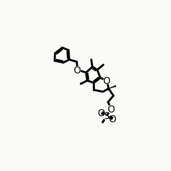 Cc1c(C)c2c(c(C)c1OCc1ccccc1)CC[C@@](C)(CCOS(C)(=O)=O)O2